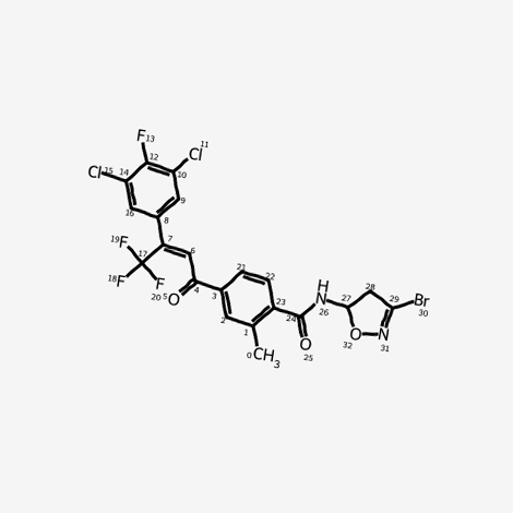 Cc1cc(C(=O)C=C(c2cc(Cl)c(F)c(Cl)c2)C(F)(F)F)ccc1C(=O)NC1CC(Br)=NO1